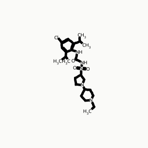 CCN1CCC(N2CCC(S(=O)(=O)NC(=O)Nc3c(C(C)C)cc(Cl)cc3C(C)C)C2)CC1